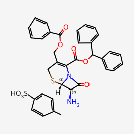 Cc1ccc(S(=O)(=O)O)cc1.N[C@@H]1C(=O)N2C(C(=O)OC(c3ccccc3)c3ccccc3)=C(COC(=O)c3ccccc3)CS[C@@H]12